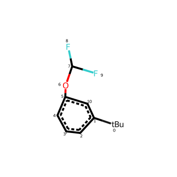 CC(C)(C)c1c[c]cc(OC(F)F)c1